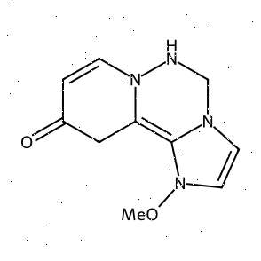 CON1C=CN2CNN3C=CC(=O)CC3=C21